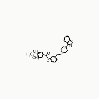 CC(C)(C)c1ccc(C(=O)Nc2cccc(CCN3CCN(c4nsc5ccccc45)CC3)c2)cc1